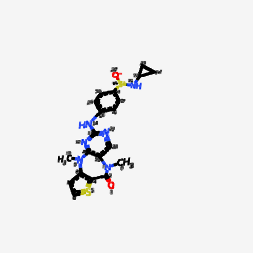 CN1C(=O)c2sccc2N(C)c2nc(Nc3ccc([S+]([O-])NC4CC4)cc3)ncc21